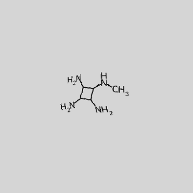 CNC1C(N)C(N)C1N